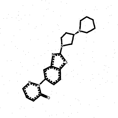 O=c1cccnn1-c1ccc2sc(N3CC[C@@H](N4CCCCC4)C3)nc2c1